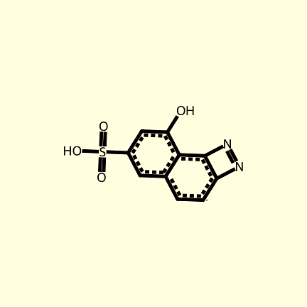 O=S(=O)(O)c1cc(O)c2c3c([c]cc2c1)N=N3